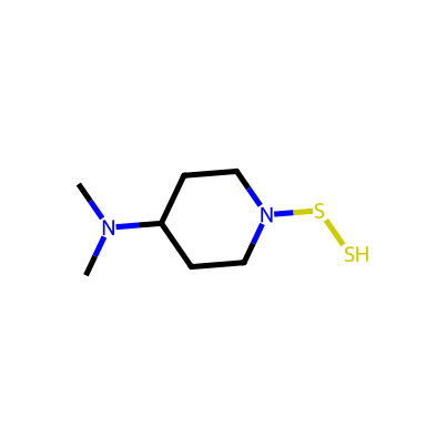 CN(C)C1CCN(SS)CC1